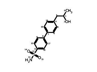 CC(O)Cc1ccc(-c2ccc(S(N)(=O)=O)cc2)cc1